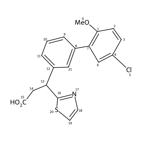 COc1ccc(Cl)cc1-c1cccc(C(CC(=O)O)c2nccs2)c1